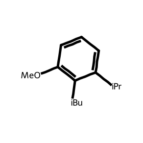 CCC(C)c1c(OC)cccc1C(C)C